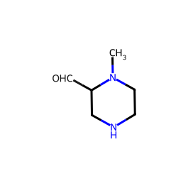 CN1CCNCC1C=O